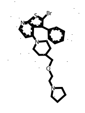 Brc1sc2nccc(N3CCC(COCCN4CCCC4)CC3)c2c1-c1ccccc1